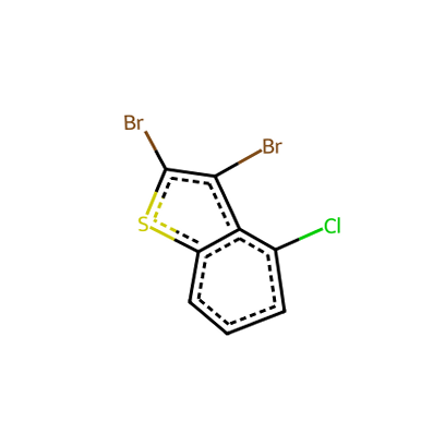 Clc1cccc2sc(Br)c(Br)c12